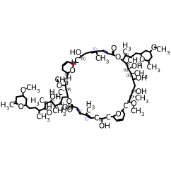 COC1CC(C)OC(CC[C@H](C)C2OC(=O)/C=C/C(C)=C/C[C@H](O)C[C@@H]3C=CC[C@@H](CC(OC)[C@@H](C)C(C[C@@H](O)[C@H](C)[C@H](O)[C@@H](C)[C@@H](O)C(C)CCC4CC(OC)C[C@H](C)O4)O[C@@H](O)/C=C/C(C)=C/C[C@H](O)CC4C=CCC(C[C@H](OC)[C@@H](C)[C@@H](O)CC(O)[C@H](C)[C@H](O)[C@H]2C)O4)O3)C1